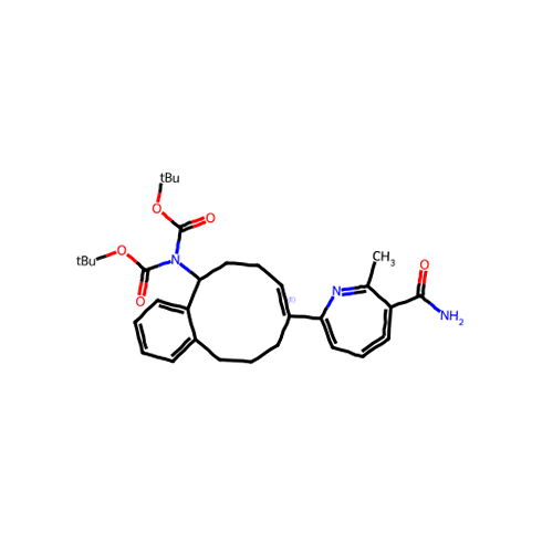 CC1=NC(/C2=C/CCC(N(C(=O)OC(C)(C)C)C(=O)OC(C)(C)C)c3ccccc3CCC2)=CC=C=C1C(N)=O